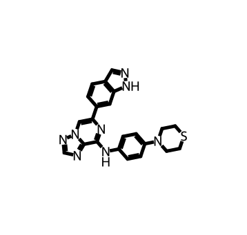 c1nc2c(Nc3ccc(N4CCSCC4)cc3)nc(-c3ccc4cn[nH]c4c3)cn2n1